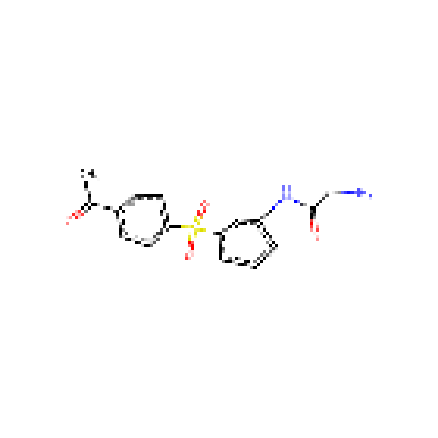 CC(=O)c1ccc(S(=O)(=O)c2cccc(NC(=O)CN)c2)cc1